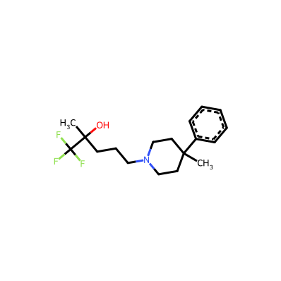 CC1(c2ccccc2)CCN(CCCC(C)(O)C(F)(F)F)CC1